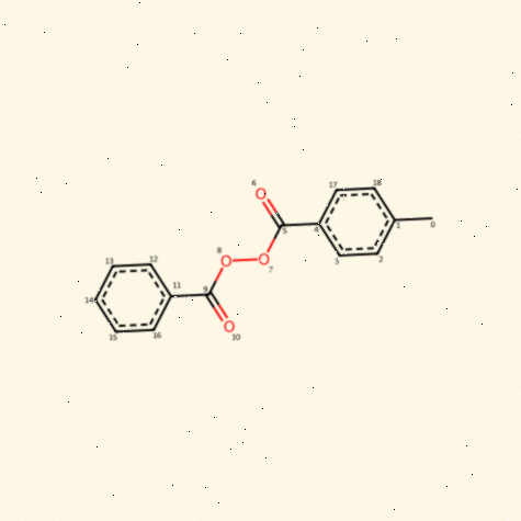 Cc1ccc(C(=O)OOC(=O)c2ccccc2)cc1